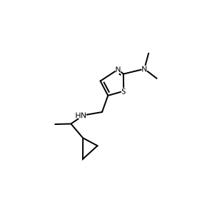 CC(NCc1cnc(N(C)C)s1)C1CC1